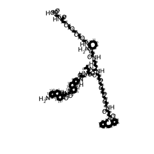 CC(C)C(NC(=O)[C@@H](CCCCNC(=O)COC1CCCCC/C(NCCOCCOCCOCCOCCC(=O)NCCS(=O)O)=C\1N)NC(=O)CCOCCOCCOCCOCCNC(=O)CCC(=O)N1Cc2ccccc2C#Cc2ccccc21)C(=O)NCC(=O)Nc1ccc2c(c1)[C@@]1(C)CCC[C@](C)(C(=O)NC(=O)[C@@]3(C)CCCC4c5cc(N)ccc5CC[C@H]43)C1CC2